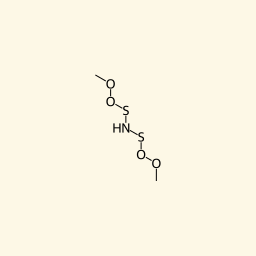 COOSNSOOC